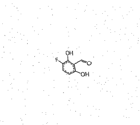 O=Cc1c(O)ccc(F)c1O